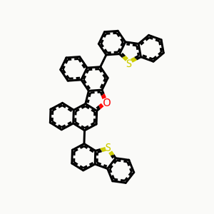 c1ccc2c(c1)sc1c(-c3cc4oc5cc(-c6cccc7c6sc6ccccc67)c6ccccc6c5c4c4ccccc34)cccc12